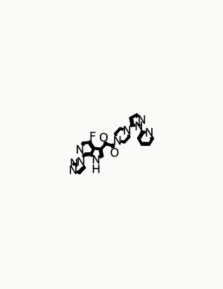 O=C(C(=O)N1CCN(c2ccnn2-c2ccccn2)CC1)c1c[nH]c2c(-n3ccnn3)ncc(F)c12